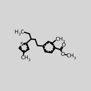 CCC(CCc1ccc(C(=O)OC)c(C)c1)c1cc(C)cs1